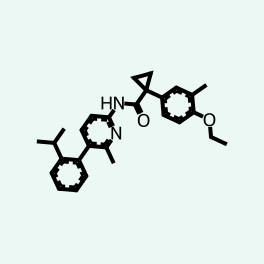 CCOc1ccc(C2(C(=O)Nc3ccc(-c4ccccc4C(C)C)c(C)n3)CC2)cc1C